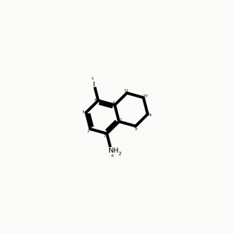 Nc1ccc(I)c2c1CCCC2